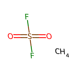 C.O=S(=O)(F)F